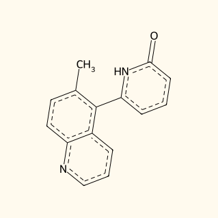 Cc1ccc2ncccc2c1-c1cccc(=O)[nH]1